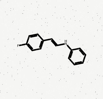 Fc1ccc(C=CNc2ccccc2)cc1